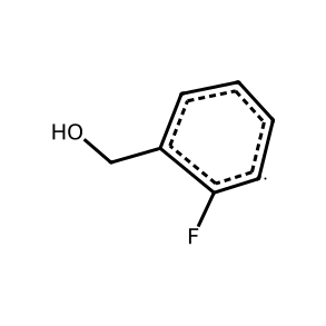 OCc1ccc[c]c1F